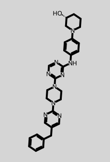 O[C@@H]1CCCN(c2ccc(Nc3ncnc(N4CCN(c5ncc(Cc6ccccc6)cn5)CC4)n3)cc2)C1